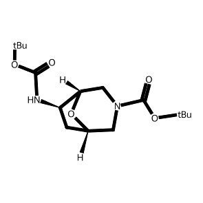 CC(C)(C)OC(=O)N[C@@H]1C[C@H]2CN(C(=O)OC(C)(C)C)C[C@@H]1O2